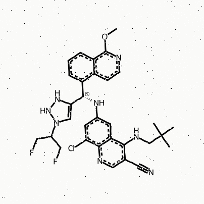 COc1nccc2c([C@H](Nc3cc(Cl)c4ncc(C#N)c(NCC(C)(C)C)c4c3)C3=CN(C(CF)CF)NN3)cccc12